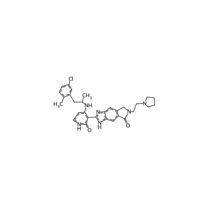 Cc1ccc(Cl)cc1CC(C)Nc1cc[nH]c(=O)c1-c1nc2cc3c(cc2[nH]1)C(=O)N(CCN1CCCC1)C3